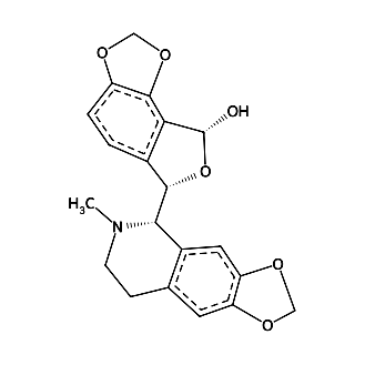 CN1CCc2cc3c(cc2[C@H]1[C@H]1O[C@@H](O)c2c1ccc1c2OCO1)OCO3